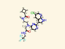 C[C@@H](C(=O)NCC(F)(F)F)N(CCN(C)C(=O)C1CCC1)c1ccnc(-c2c[nH]c3ncc(Cl)cc23)n1